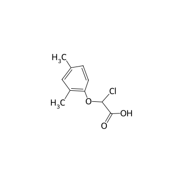 Cc1ccc(OC(Cl)C(=O)O)c(C)c1